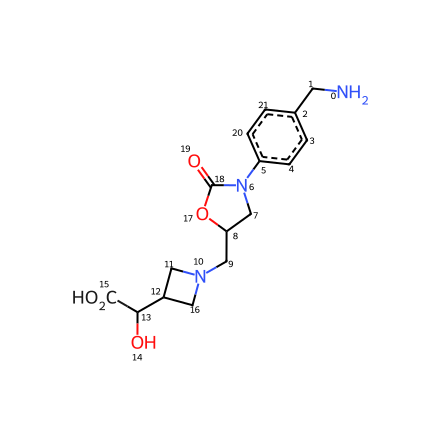 NCc1ccc(N2CC(CN3CC(C(O)C(=O)O)C3)OC2=O)cc1